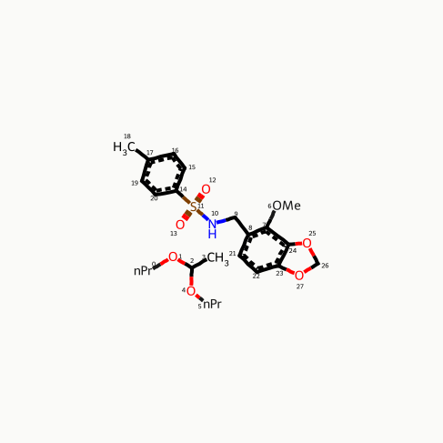 CCCOC(C)OCCC.COc1c(CNS(=O)(=O)c2ccc(C)cc2)ccc2c1OCO2